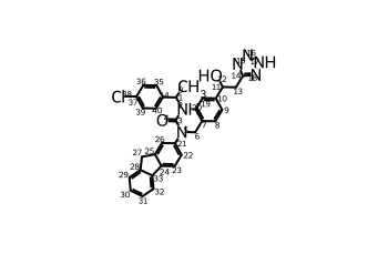 CC(NC(=O)N(Cc1ccc(C(O)Cc2nn[nH]n2)cc1)c1ccc2c(c1)Cc1ccccc1-2)c1ccc(Cl)cc1